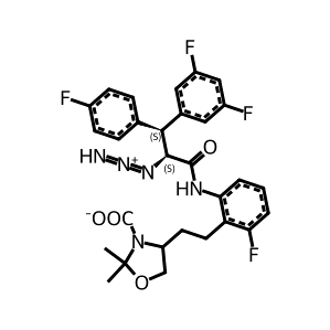 CC1(C)OCC(CCc2c(F)cccc2NC(=O)[C@@H](N=[N+]=N)[C@@H](c2ccc(F)cc2)c2cc(F)cc(F)c2)N1C(=O)[O-]